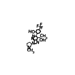 CC(O)c1c(-c2ccc(C(F)(F)F)cc2O)nnc2c1ncn2[C@@H]1CCCN(C)C1